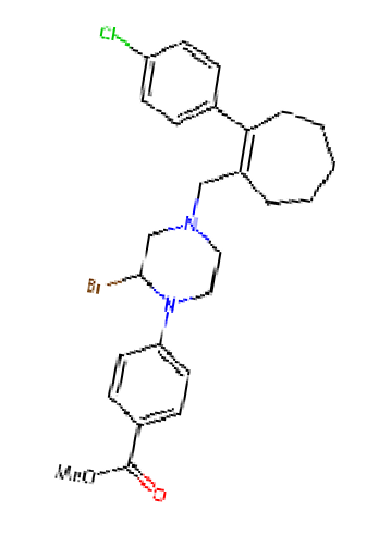 COC(=O)c1ccc(N2CCN(CC3=C(c4ccc(Cl)cc4)CCCCC3)CC2Br)cc1